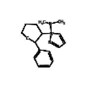 CN(C)[N+]1(C2CCCC[C]2c2ccccc2)C=CC=N1